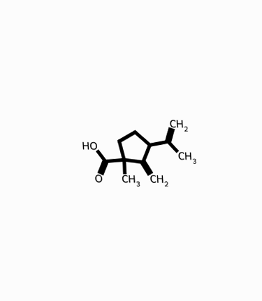 C=C(C)C1CCC(C)(C(=O)O)C1=C